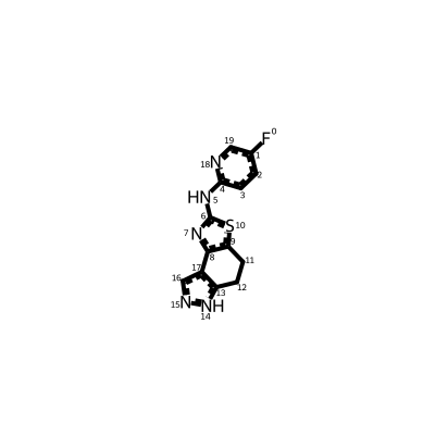 Fc1ccc(Nc2nc3c(s2)CCc2[nH]ncc2-3)nc1